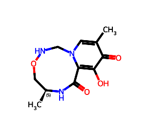 Cc1cn2c(c(O)c1=O)C(=O)N[C@@H](C)CONC2